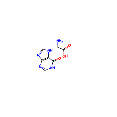 NCC(=O)O.O=c1[nH]cnc2nc[nH]c12